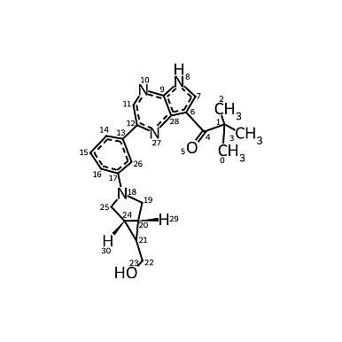 CC(C)(C)C(=O)c1c[nH]c2ncc(-c3cccc(N4C[C@@H]5C(CO)[C@@H]5C4)c3)nc12